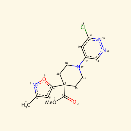 COC(=O)C1(c2cc(C)no2)CCN(c2cnnc(Cl)c2)CC1